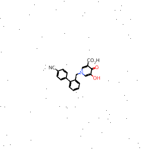 N#Cc1ccc(-c2ccccc2Cn2cc(O)c(=O)c(C(=O)O)c2)cc1